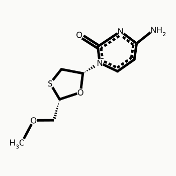 COC[C@H]1O[C@@H](n2ccc(N)nc2=O)CS1